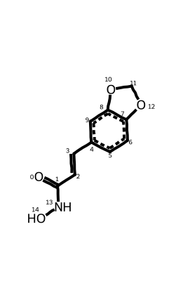 O=C(/C=C/c1ccc2c(c1)OCO2)NO